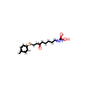 Cc1ccc(SCCC(=O)CCCCCNC(=O)O)cc1